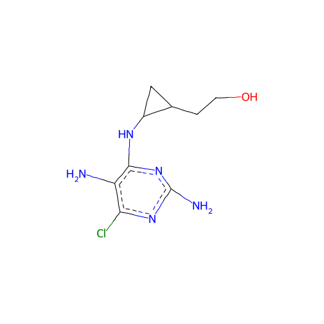 Nc1nc(Cl)c(N)c(NC2CC2CCO)n1